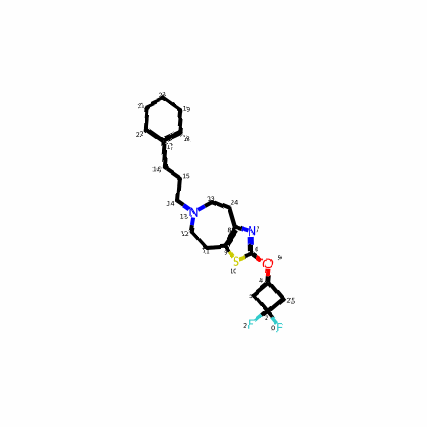 FC1(F)CC(Oc2nc3c(s2)CCN(CCCC2CCCCC2)CC3)C1